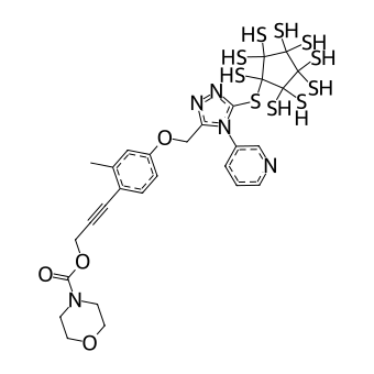 Cc1cc(OCc2nnc(SC3(S)C(S)(S)C(S)(S)C(S)(S)C3(S)S)n2-c2cccnc2)ccc1C#CCOC(=O)N1CCOCC1